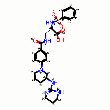 O=C(NC[C@H](NS(=O)(=O)c1ccccc1)C(=O)O)c1ccc(N2CCCC(NC3=NCCCN3)C2)cc1